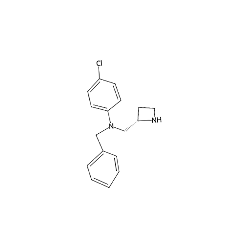 Clc1ccc(N(Cc2ccccc2)C[C@@H]2CCN2)cc1